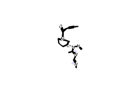 C=NN(/C(C)=N/C=N/C)[C@@H]1CCCN(C(=O)C#CC)C1